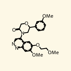 COCCOc1cc2c(N3CC(c4cccc(OC)c4)OCC3=O)cnnc2cc1OC